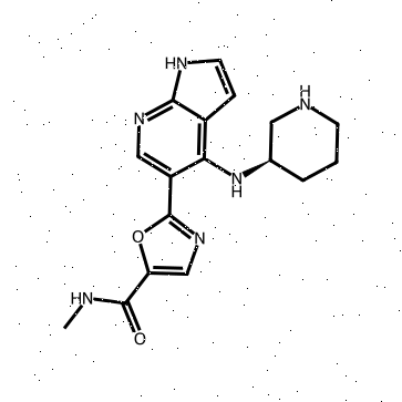 CNC(=O)c1cnc(-c2cnc3[nH]ccc3c2N[C@@H]2CCCNC2)o1